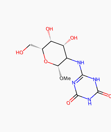 CO[C@@H]1O[C@H](CO)[C@H](O)[C@H](O)C1Nc1nc(=O)[nH]c(=O)[nH]1